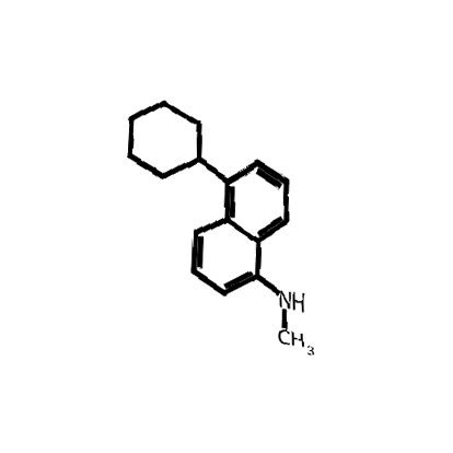 CNc1cccc2c(C3CCCCC3)cccc12